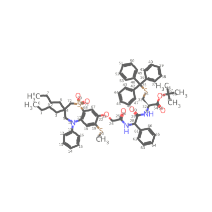 CCCCC1(CCCC)CN(c2ccccc2)c2cc(SC)c(OCC(=O)NC(C(=O)N[C@@H](CSC(c3ccccc3)(c3ccccc3)c3ccccc3)C(=O)OC(C)(C)C)c3ccccc3)cc2S(=O)(=O)C1